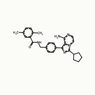 Cc1ccc(C)c(C(=O)NCc2ccc(-c3nc(C4CCCC4)n4ccnc(N)c34)cc2)c1